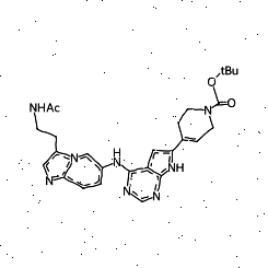 CC(=O)NCCc1cnc2ccc(Nc3ncnc4[nH]c(C5=CCN(C(=O)OC(C)(C)C)CC5)cc34)cn12